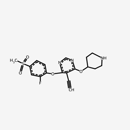 C#Cc1c(Oc2ccc(S(C)(=O)=O)cc2F)ncnc1OC1CCNCC1